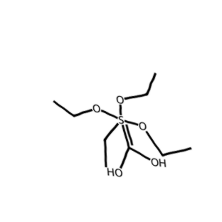 CCOS(CC)(OCC)(OCC)=C(O)O